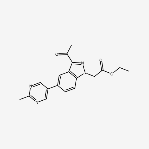 CCOC(=O)Cn1nc(C(C)=O)c2cc(-c3cnc(C)nc3)ccc21